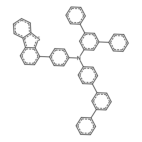 c1ccc(-c2cccc(-c3ccc(N(c4ccc(-c5cccc6c5sc5ccccc56)cc4)c4cc(-c5ccccc5)cc(-c5ccccc5)c4)cc3)c2)cc1